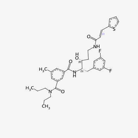 CCCN(CCC)C(=O)c1cc(C)cc(C(=O)N[C@@H](Cc2cc(F)cc(F)c2)[C@H](O)CCNC(=O)/C=C/c2cccs2)c1